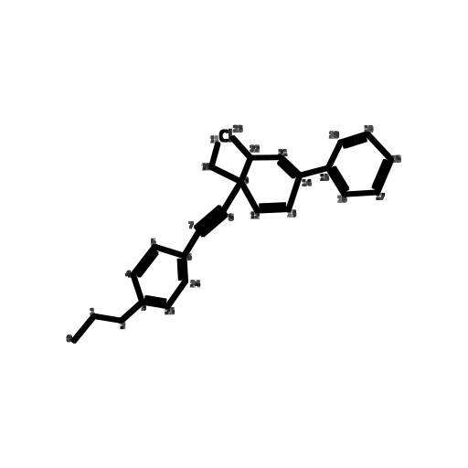 CCCc1ccc(C#CC2(CC)C=CC(c3ccccc3)=CC2Cl)cc1